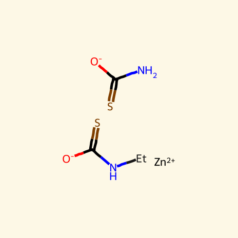 CCNC([O-])=S.NC([O-])=S.[Zn+2]